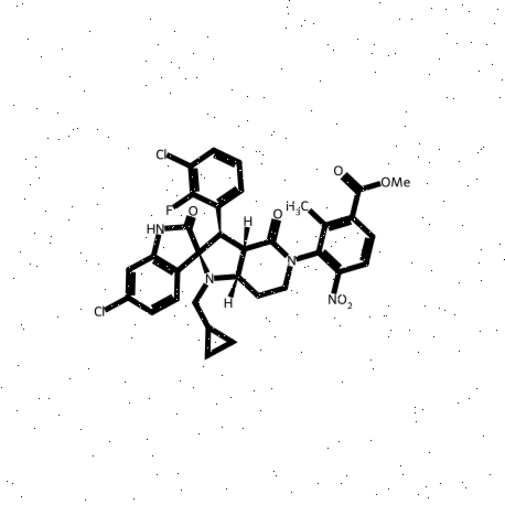 COC(=O)c1ccc([N+](=O)[O-])c(N2CC[C@H]3[C@@H](C2=O)[C@H](c2cccc(Cl)c2F)[C@]2(C(=O)Nc4cc(Cl)ccc42)N3CC2CC2)c1C